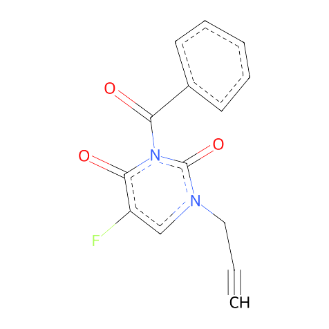 C#CCn1cc(F)c(=O)n(C(=O)c2ccccc2)c1=O